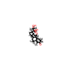 [2H]C1=C2C([2H])([2H])C[C@@H]3[C@H]([C@@H]4C[C@@]5(C(O)O4)[C@H]3CC[C@]5([2H])C(=O)C([2H])([2H])O)[C@@]2(C)CC([2H])([2H])C1=O